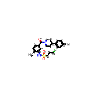 Cc1ccc(C(=O)N2CCC(c3ccc(C#N)cc3)CC2)cc1NS(=O)(=O)CCCCl